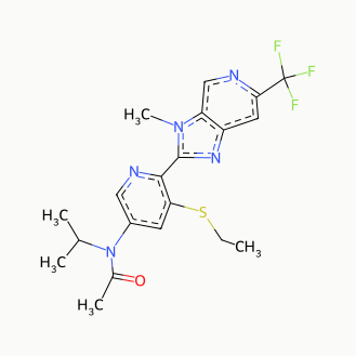 CCSc1cc(N(C(C)=O)C(C)C)cnc1-c1nc2cc(C(F)(F)F)ncc2n1C